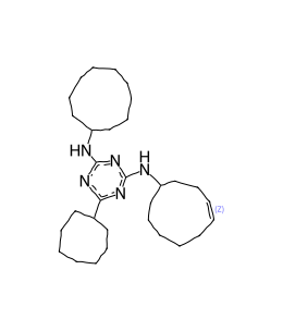 C1=C\CCC(Nc2nc(NC3CCCCCCCCC3)nc(C3CCCCCCC3)n2)CCCCC/1